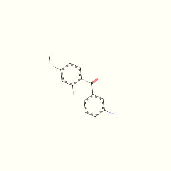 COc1ccc(C(=O)c2cccc(N)c2)c(O)c1